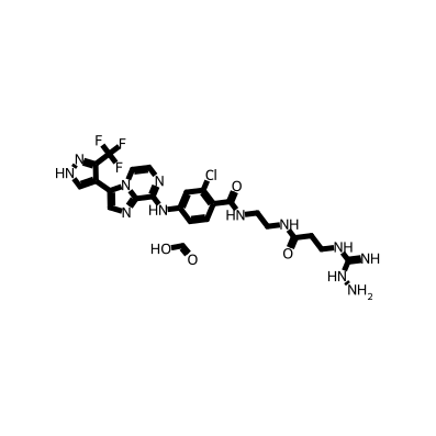 N=C(NN)NCCC(=O)NCCNC(=O)c1ccc(Nc2nccn3c(-c4c[nH]nc4C(F)(F)F)cnc23)cc1Cl.O=CO